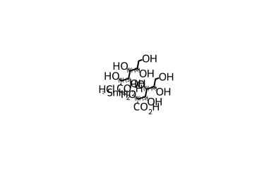 Cl.O=C(O)[C@H](O)[C@@H](O)[C@H](O)[C@H](O)CO.O=C(O)[C@H](O)[C@@H](O)[C@H](O)[C@H](O)CO.[SnH2]